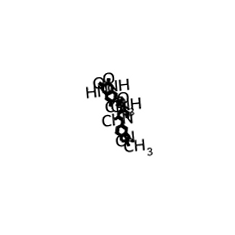 Cc1nc2cc(-c3ncc(NS(=O)(=O)c4cc5[nH]c(=O)c(=O)[nH]c5cc4C)cc3Cl)ccc2o1